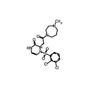 CN1CCCN(C(=O)C[C@@H]2C(=O)NC=CN2S(=O)(=O)c2cccc(Cl)c2Cl)CC1